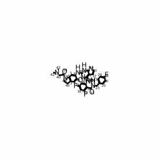 COc1cc2c(cc1Nc1nc(Nc3cc(F)cc(F)c3C(=O)NCc3ccc(F)cc3)c3ccnc-3[nH]1)N(C(=O)CN(C)C)CC2